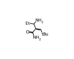 CCC(N)C(=CC(C)(C)C)C(N)=O